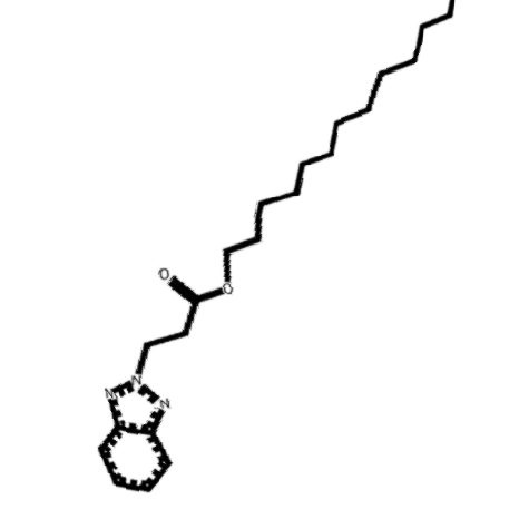 CCCCCCCCCCCCCOC(=O)CCn1nc2ccccc2n1